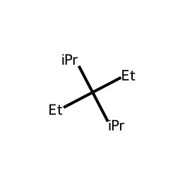 CCC(CC)(C(C)C)C(C)C